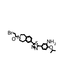 CC(C)Oc1ccc(-c2nnc(-c3ccc4c(c3)CCN(C(=O)CBr)CC4)s2)cc1N